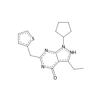 CCc1[nH]n(C2CCCC2)c2nc(Cc3cccs3)nc(=O)c1-2